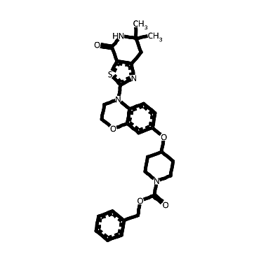 CC1(C)Cc2nc(N3CCOc4cc(OC5CCN(C(=O)OCc6ccccc6)CC5)ccc43)sc2C(=O)N1